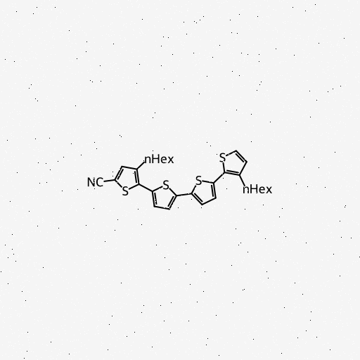 CCCCCCc1ccsc1-c1ccc(-c2ccc(-c3sc(C#N)cc3CCCCCC)s2)s1